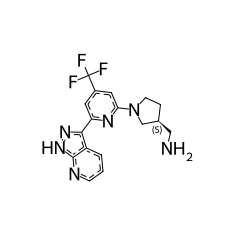 NC[C@@H]1CCN(c2cc(C(F)(F)F)cc(-c3n[nH]c4ncccc34)n2)C1